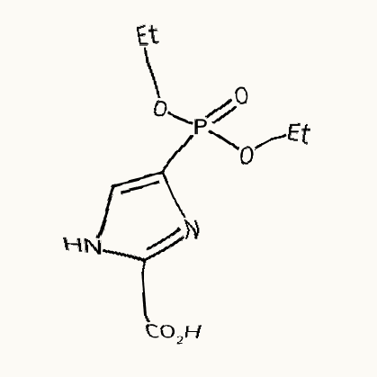 CCOP(=O)(OCC)c1c[nH]c(C(=O)O)n1